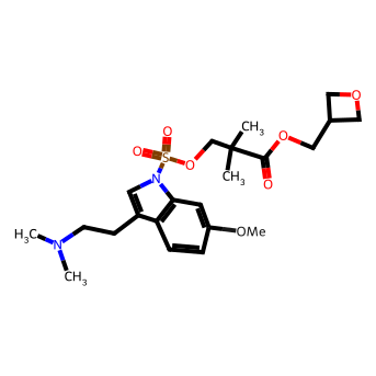 COc1ccc2c(CCN(C)C)cn(S(=O)(=O)OCC(C)(C)C(=O)OCC3COC3)c2c1